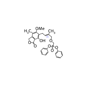 COc1c(C)c2c(c(O)c1C/C=C(\C)COCP(=O)(Oc1ccccc1)Oc1ccccc1)C(=O)OC2